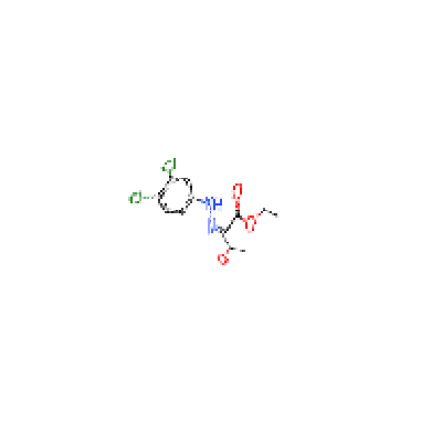 CCOC(=O)C(=NNc1ccc(Cl)c(Cl)c1)C(C)=O